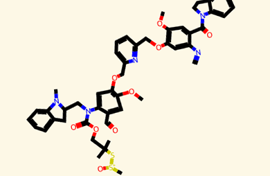 C=Nc1cc(OCc2cccc(COc3cc(N(CC4Cc5ccccc5N4C)C(=O)OCC(C)(C)S[S+](C)[O-])c(C=O)cc3OC)n2)c(OC)cc1C(=O)N1CCc2ccccc21